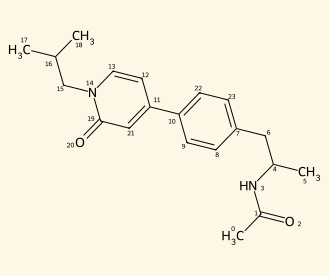 CC(=O)NC(C)Cc1ccc(-c2ccn(CC(C)C)c(=O)c2)cc1